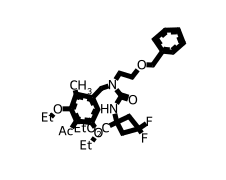 CCOC(=O)C1(NC(=O)N(CCOCc2ccccc2)Cc2cc(OCC)c(C(C)=O)c(OCC)c2C)CC(F)(F)C1